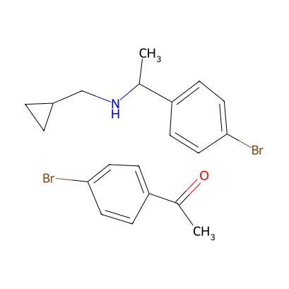 CC(=O)c1ccc(Br)cc1.CC(NCC1CC1)c1ccc(Br)cc1